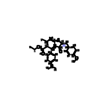 CCOC(=O)C1=C(C)N=c2s/c(=C/c3ccc(OC)cc3)c(=O)n2C1c1ccc(N(C)C)cc1